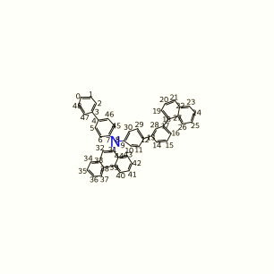 c1ccc(-c2ccc(N(c3ccc(-c4cccc(-c5cccc6ccccc56)c4)cc3)c3cc4ccccc4c4ccccc34)cc2)cc1